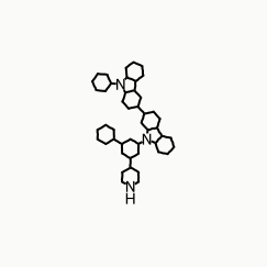 C1CCC(C2CC(C3CCNCC3)CC(N3C4CCCCC4C4CCC(C5CCC6C(C5)C5CCCCC5N6C5CCCCC5)CC43)C2)CC1